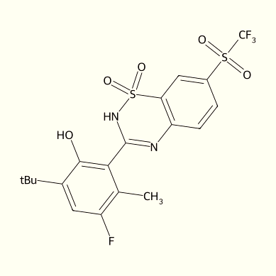 Cc1c(F)cc(C(C)(C)C)c(O)c1C1=Nc2ccc(S(=O)(=O)C(F)(F)F)cc2S(=O)(=O)N1